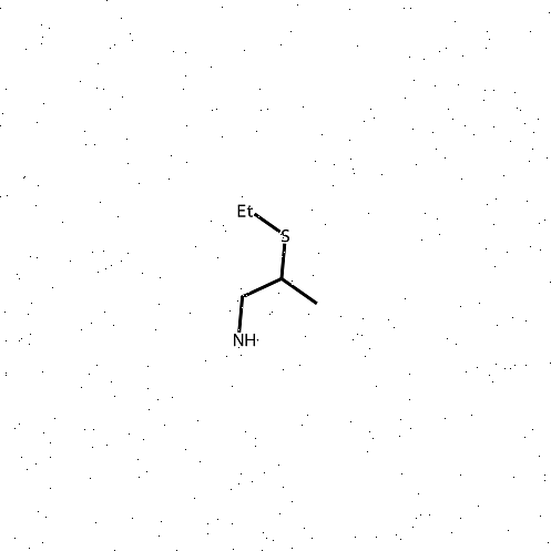 CCSC(C)C[NH]